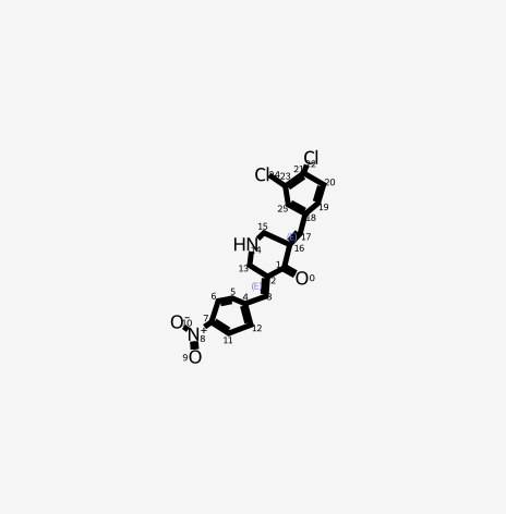 O=C1/C(=C/c2ccc([N+](=O)[O-])cc2)CNC/C1=C\c1ccc(Cl)c(Cl)c1